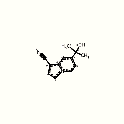 CC(C)(O)c1ccn2ccc(C#N)c2c1